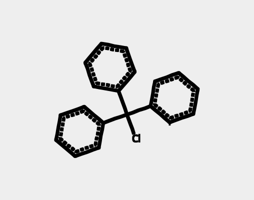 ClC(c1[c]cccc1)(c1ccccc1)c1ccccc1